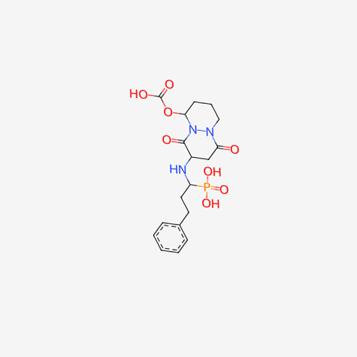 O=C(O)OC1CCCN2C(=O)CC(NC(CCc3ccccc3)P(=O)(O)O)C(=O)N12